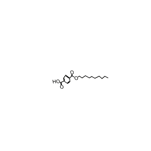 CCCCCCCCCCOC(=O)c1ccc(C(=O)O)cc1